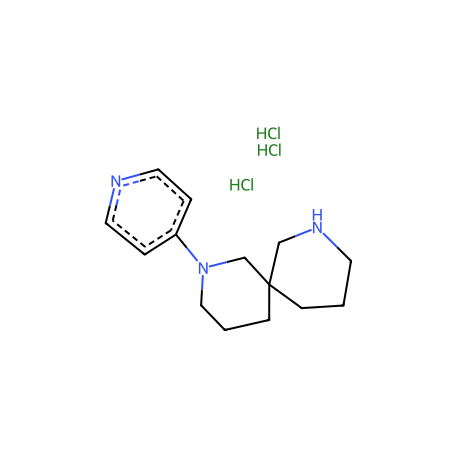 Cl.Cl.Cl.c1cc(N2CCCC3(CCCNC3)C2)ccn1